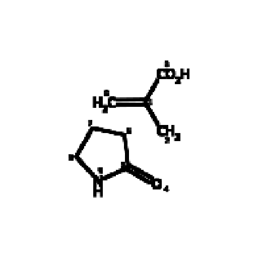 C=C(C)C(=O)O.O=C1CCCN1